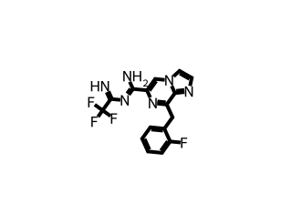 N=C(/N=C(\N)c1cn2ccnc2c(Cc2ccccc2F)n1)C(F)(F)F